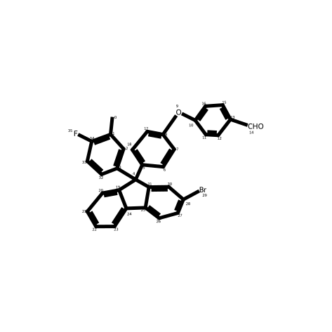 Cc1cc(C2(c3ccc(Oc4ccc(C=O)cc4)cc3)c3ccccc3-c3ccc(Br)cc32)ccc1F